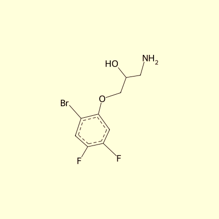 NCC(O)COc1cc(F)c(F)cc1Br